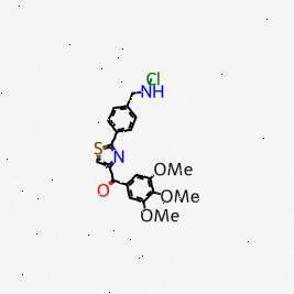 COc1cc(C(=O)c2csc(-c3ccc(CNCl)cc3)n2)cc(OC)c1OC